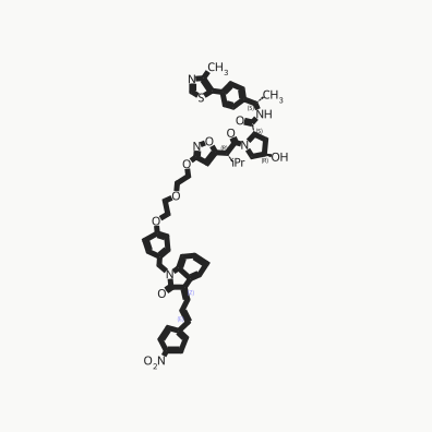 Cc1ncsc1-c1ccc([C@H](C)NC(=O)[C@@H]2C[C@@H](O)CN2C(=O)[C@@H](c2cc(OCCOCCOc3ccc(CN4C(=O)/C(=C\C=C\c5ccc([N+](=O)[O-])cc5)c5ccccc54)cc3)no2)C(C)C)cc1